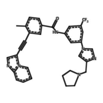 Cc1ccc(C(=O)Nc2cc(-n3cnc(CN4CCCC4)c3)cc(C(F)(F)F)c2)cc1C#Cc1cnc2ccccn12